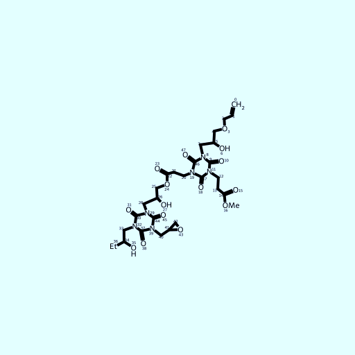 C=CCOCC(O)Cn1c(=O)n(CCC(=O)OC)c(=O)n(CCC(=O)OCC(O)Cn2c(=O)n(CC(O)CC)c(=O)n(CC3CO3)c2=O)c1=O